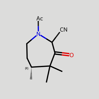 CC(=O)N1CC[C@@H](C)C(C)(C)C(=O)C1C#N